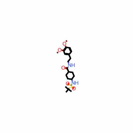 COc1ccc(CCNC(=O)C2CCC(NS(=O)(=O)C(C)(C)C)CC2)cc1OC